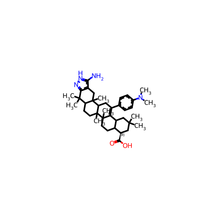 CN(C)c1ccc(C2=C3C4CC(C)(C)C[C@@H](C(=O)O)C4CCC3(C)C3(C)CCC4C(C)(C)c5n[nH]c(N)c5CC4(C)C3C2)cc1